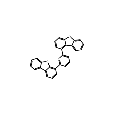 c1cc(-c2cccc3c2oc2ccccc23)nc(-c2cccc3oc4ccccc4c23)c1